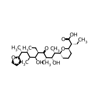 CC[C@@H](C(=O)[C@@H](C)[C@@H](O)[C@H](C)[C@H]1CCC[C@H]([C@@H](CC)C(=O)O)O1)[C@@H](O)[C@@H](C)C[C@@H](C)c1ccco1